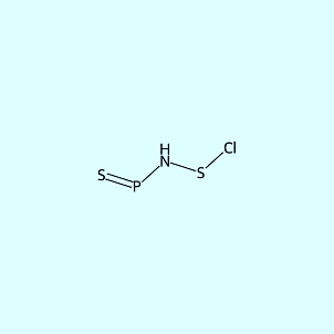 S=PNSCl